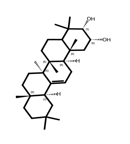 CC1(C)CC[C@]2(C)CC[C@]3(C)C(=CC[C@@H]4[C@@]5(C)C[C@@H](O)[C@@H](O)C(C)(C)C5CC[C@]43C)[C@H]2C1